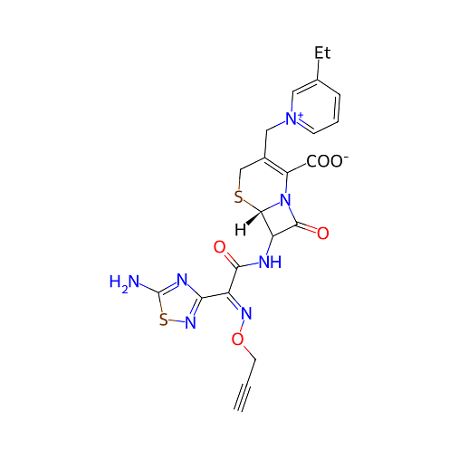 C#CCON=C(C(=O)NC1C(=O)N2C(C(=O)[O-])=C(C[n+]3cccc(CC)c3)CS[C@@H]12)c1nsc(N)n1